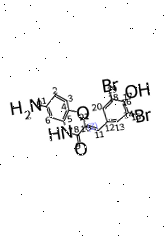 Nc1ccc2c(c1)NC(=O)/C(=C/c1cc(Br)c(O)c(Br)c1)O2